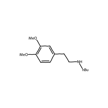 CCCCNCCc1ccc(OC)c(OC)c1